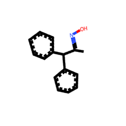 CC(=NO)C(c1ccccc1)c1ccccc1